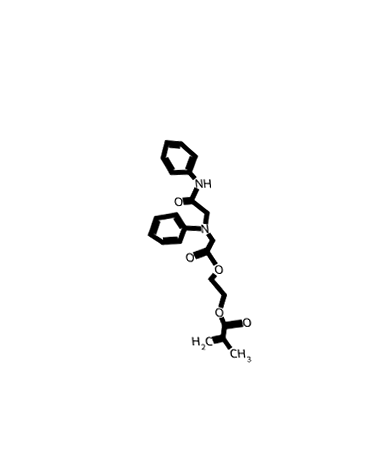 C=C(C)C(=O)OCCOC(=O)CN(CC(=O)Nc1ccccc1)c1ccccc1